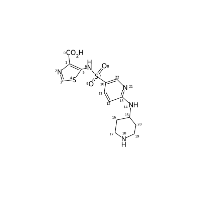 O=C(O)c1ncsc1NS(=O)(=O)c1ccc(NC2CCNCC2)nc1